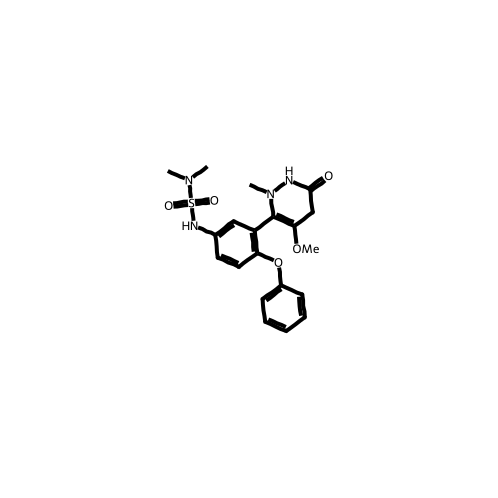 COC1=C(c2cc(NS(=O)(=O)N(C)C)ccc2Oc2ccccc2)N(C)NC(=O)C1